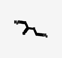 C=CSC(=O)C=C